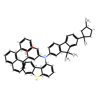 CCC1(c2ccc3c(c2)C(C)(C)c2cc(N(c4cccc(-c5cccc6cccc(-c7ccccc7)c56)c4)c4cccc5sc6ccccc6c45)ccc2-3)CCC(C)C1